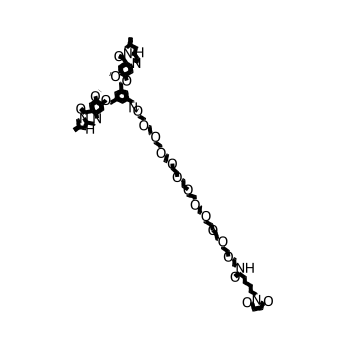 C=C1C[C@H]2C=Nc3cc(OCc4cc(C=NOCCOCCOCCOCCOCCOCCOCCOCCOCCOCCOCCOCCNC(=O)CCCCCN5C(=O)C=CC5=O)cc(COc5cc6c(cc5OC)C(=O)N5CC(=C)C[C@H]5C=N6)c4)c(OC)cc3C(=O)N2C1